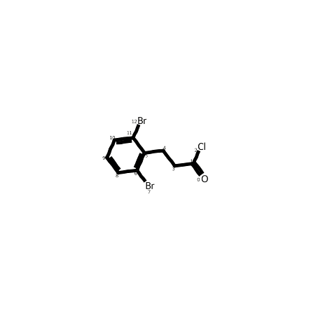 O=C(Cl)CCc1c(Br)cccc1Br